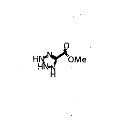 COC(=O)C1=NNNN1